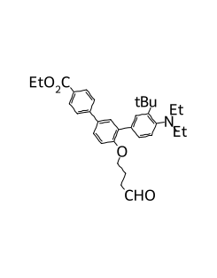 CCOC(=O)c1ccc(-c2ccc(OCCCC=O)c(-c3ccc(N(CC)CC)c(C(C)(C)C)c3)c2)cc1